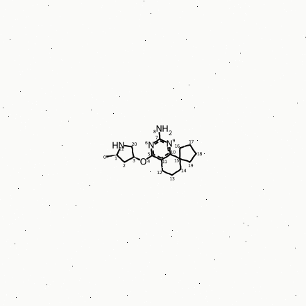 C[C@@H]1C[C@H](Oc2nc(N)nc3c2CCCC32CCCC2)CN1